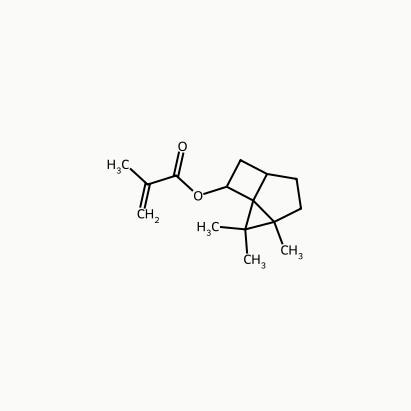 C=C(C)C(=O)OC1CC2CCC3(C)C(C)(C)C213